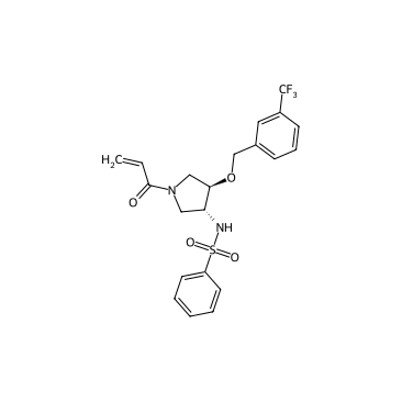 C=CC(=O)N1C[C@@H](NS(=O)(=O)c2ccccc2)[C@H](OCc2cccc(C(F)(F)F)c2)C1